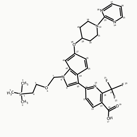 C[Si](C)(C)CCOCn1cc(-c2ccc(C(=O)O)c(C(F)(F)F)n2)c2ccc(OC3CCN(c4ncccn4)CC3)cc21